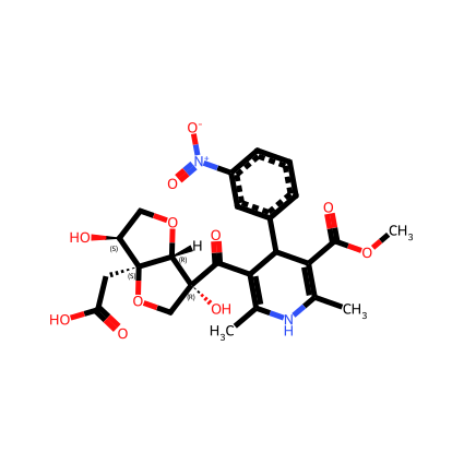 COC(=O)C1=C(C)NC(C)=C(C(=O)[C@@]2(O)CO[C@@]3(CC(=O)O)[C@@H](O)CO[C@@H]32)C1c1cccc([N+](=O)[O-])c1